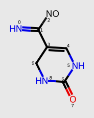 N=C(N=O)C1=CNC(=O)NC1